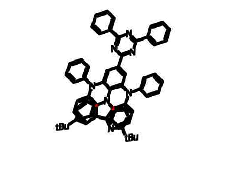 CC(C)(C)c1ccc2c(c1)c1nc(C(C)(C)C)ccc1n2-c1c(N(c2ccccc2)c2ccccc2)cc(-c2nc(-c3ccccc3)nc(-c3ccccc3)n2)cc1N(c1ccccc1)c1ccccc1